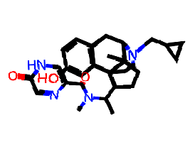 CC(C1CCC2(C)C3Cc4ccc(O)cc4C12CCN3CC1CC1)N(C)C(=O)c1c[nH]c(=O)cn1